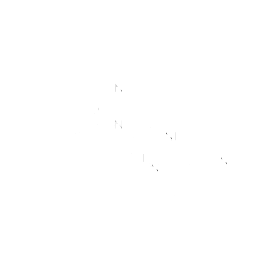 Cc1c(Nc2nccc3ccncc23)c2cccnc2n1S(=O)(=O)c1ccccc1